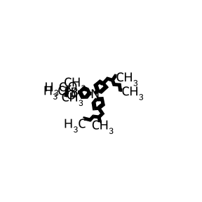 CCCCC(CC)Cc1ccc(N(c2ccc(CC(CC)CCCC)cc2)c2ccc(B3OC(C)(C)C(C)(C)O3)cc2)cc1